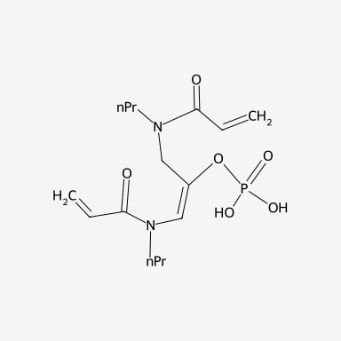 C=CC(=O)N(C=C(CN(CCC)C(=O)C=C)OP(=O)(O)O)CCC